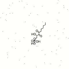 CCCCCCC(=O)C(=O)C(O)COP(=O)(O)O